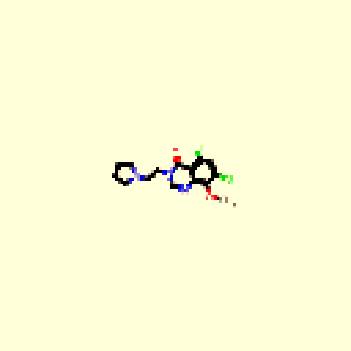 COc1c(Cl)cc(Cl)c2c(=O)n(CCN3CCCC3)cnc12